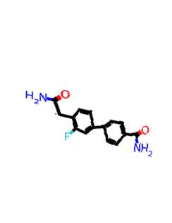 NC(=O)[CH]c1ccc(-c2ccc(C(N)=O)cc2)cc1F